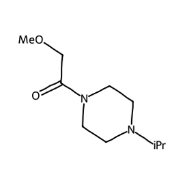 COCC(=O)N1CCN(C(C)C)CC1